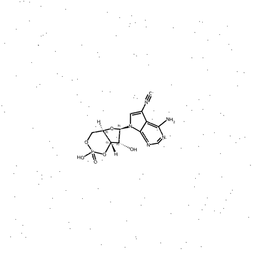 [C-]#[N+]c1cn([C@@H]2O[C@@H]3COP(=O)(O)O[C@H]3[C@H]2O)c2ncnc(N)c12